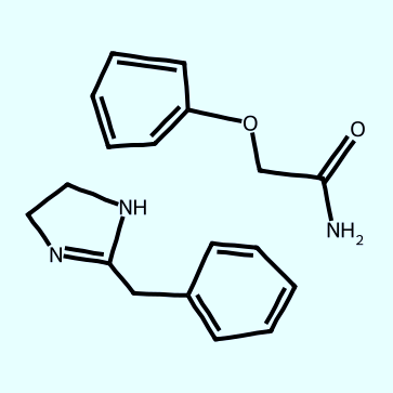 NC(=O)COc1ccccc1.c1ccc(CC2=NCCN2)cc1